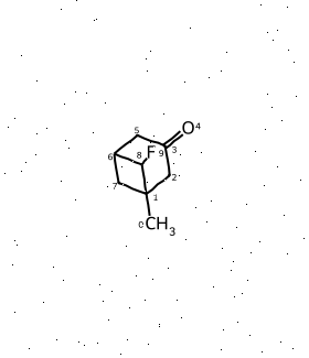 CC12CC(=O)CC(C1)C2F